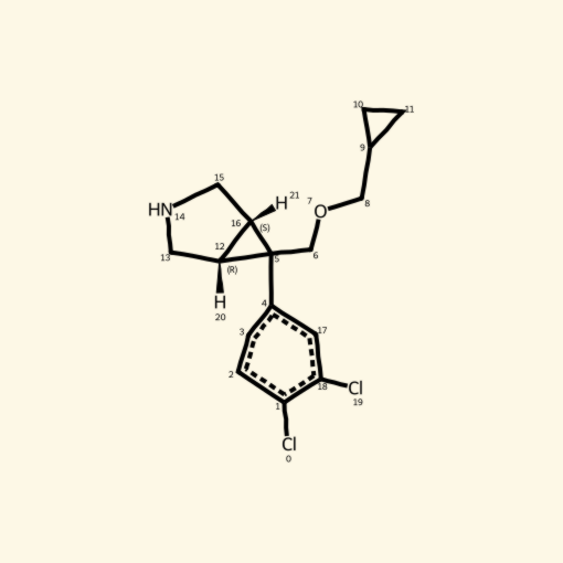 Clc1ccc(C2(COCC3CC3)[C@@H]3CNC[C@@H]32)cc1Cl